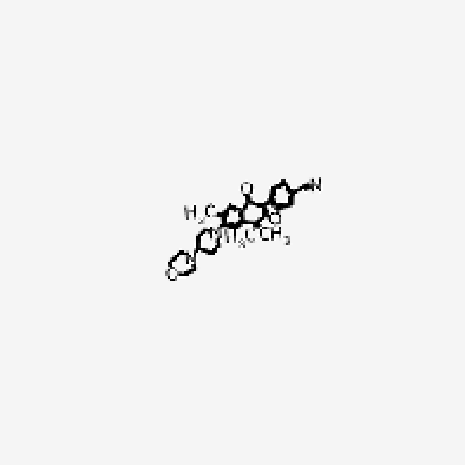 Cc1cc2c(cc1N1CCC(N3CCOCC3)CC1)C(C)(C)c1oc3cc(C#N)ccc3c1C2=O